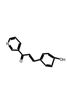 O=C(C=Cc1ccc(O)cc1)c1cccnc1